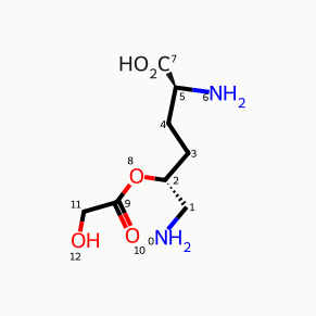 NC[C@@H](CC[C@H](N)C(=O)O)OC(=O)CO